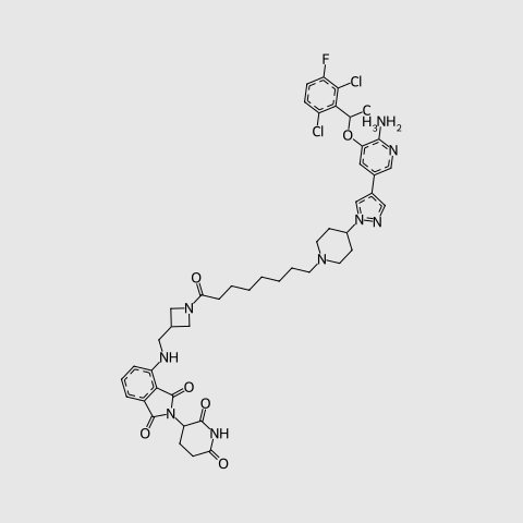 CC(Oc1cc(-c2cnn(C3CCN(CCCCCCCC(=O)N4CC(CNc5cccc6c5C(=O)N(C5CCC(=O)NC5=O)C6=O)C4)CC3)c2)cnc1N)c1c(Cl)ccc(F)c1Cl